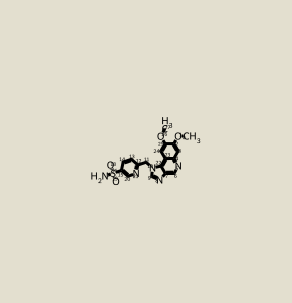 COc1cc2ncc3ncn(Cc4ccc(S(N)(=O)=O)cn4)c3c2cc1OC